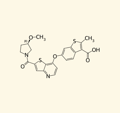 CO[C@@H]1CCN(C(=O)c2cc3nccc(Oc4ccc5c(C(=O)O)c(C)sc5c4)c3s2)C1